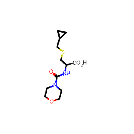 O=C(O)C(CSCC1CC1)NC(=O)N1CCOCC1